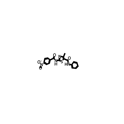 Cc1nc(NC(=O)c2ccc([N+](=O)[O-])cc2)sc1C(=O)Nc1ccccc1